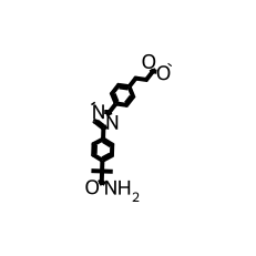 COC(=O)CCc1ccc(-c2nc(-c3ccc(C(C)(C)C(N)=O)cc3)cn2C)cc1